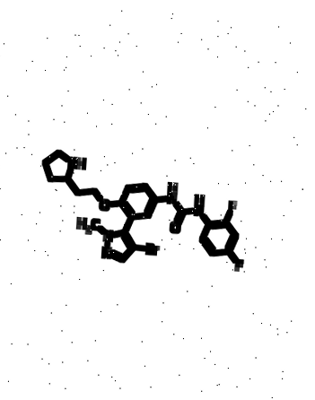 Cn1ncc(Br)c1-c1cc(NC(=O)Nc2ccc(F)cc2F)ccc1OCCC1CCCN1